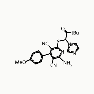 COc1ccc(-c2c(C#N)c(N)nc(SC(C(=O)C(C)(C)C)n3ccnc3)c2C#N)cc1